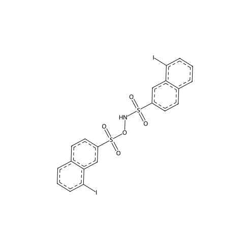 O=S(=O)(NOS(=O)(=O)c1ccc2cccc(I)c2c1)c1ccc2cccc(I)c2c1